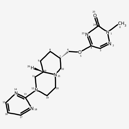 Cn1ncc(OC[C@H]2CC[C@H]3CN(c4ncccn4)CCN3C2)nc1=O